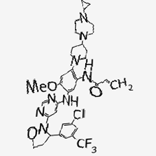 C=CC(=O)Nc1cc(Nc2cc(N3OCCC3c3cc(Cl)cc(C(F)(F)F)c3)ncn2)c(OC)cc1N1CCC(N2CCN(C3CC3)CC2)CC1